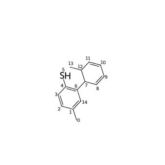 Cc1ccc(S)c(C2C=CC=CC2C)c1